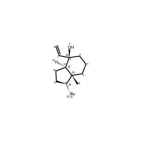 C=C[C@]1(O)CCC[C@]2(C)[C@@H]([C@@H](C)CC)CC[C@H]21